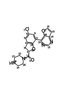 O=C([C@H]1Cc2cc(Cl)cc(-c3ncnc4ccoc34)c2O1)N1CCNCC1